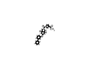 CC(=O)c1ccn(C(=O)N2C[C@H]3C[C@@H](Oc4cccc(-c5ccccc5)c4)C[C@H]3C2)n1